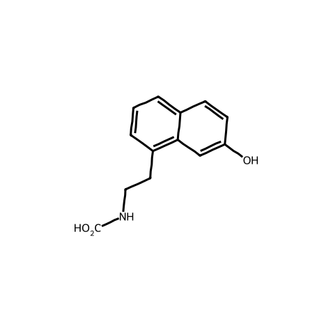 O=C(O)NCCc1cccc2ccc(O)cc12